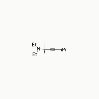 CCN(CC)C(C)(C)C#CC(C)C